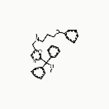 COC(c1ccccc1)(c1ccccc1)c1ncc(CN(C)CCCOc2ccccc2)o1